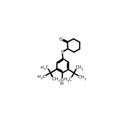 CC(C)(C)c1cc(SC2CCCCC2=O)cc(C(C)(C)C)c1O